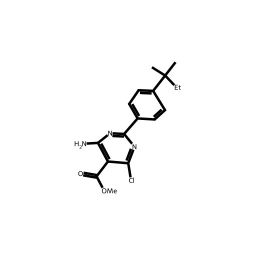 CCC(C)(C)c1ccc(-c2nc(N)c(C(=O)OC)c(Cl)n2)cc1